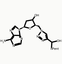 CCCCCC(O)c1cn(C[C@H]2O[C@@H](n3cnc4c(N)ncnc43)CC2O)nn1